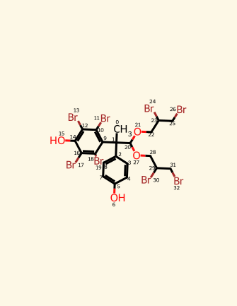 CC(c1ccc(O)cc1)(c1c(Br)c(Br)c(O)c(Br)c1Br)C(OCC(Br)CBr)OCC(Br)CBr